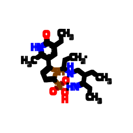 [CH2]CC(NCC(CC)C(=N)CC)[SH]1C(c2cc(CC)c(=O)[nH]c2C)=CC=C1S(=O)(=O)O